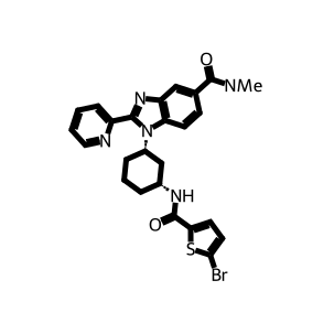 CNC(=O)c1ccc2c(c1)nc(-c1ccccn1)n2[C@H]1CCC[C@@H](NC(=O)c2ccc(Br)s2)C1